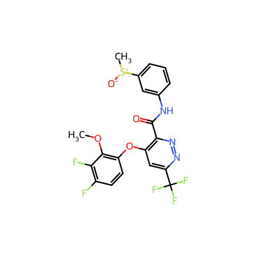 COc1c(Oc2cc(C(F)(F)F)nnc2C(=O)Nc2cccc([S+](C)[O-])c2)ccc(F)c1F